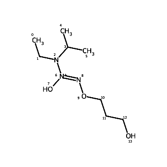 CCN(C(C)C)/[N+](O)=N/OCCCO